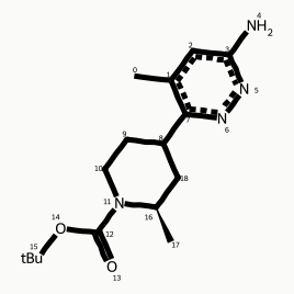 Cc1cc(N)nnc1C1CCN(C(=O)OC(C)(C)C)[C@H](C)C1